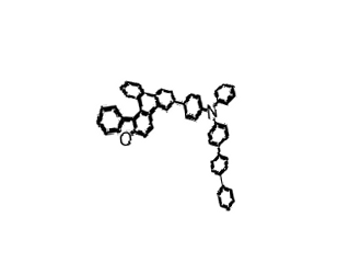 c1ccc(-c2ccc(-c3ccc(N(c4ccccc4)c4ccc(-c5ccc6c7ccccc7c7c(ccc8oc9ccccc9c87)c6c5)cc4)cc3)cc2)cc1